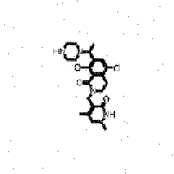 Cc1cc(C)c(CN2CCc3c(Cl)cc(C(C)N4CCNCC4)c(Cl)c3C2=O)c(=O)[nH]1